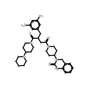 Cc1cc(C)cc(CC(CC(=O)N2CCC(N3Cc4ccccc4NC3=O)CC2)C(=O)N2CCC(N3CCCCC3)CC2)c1